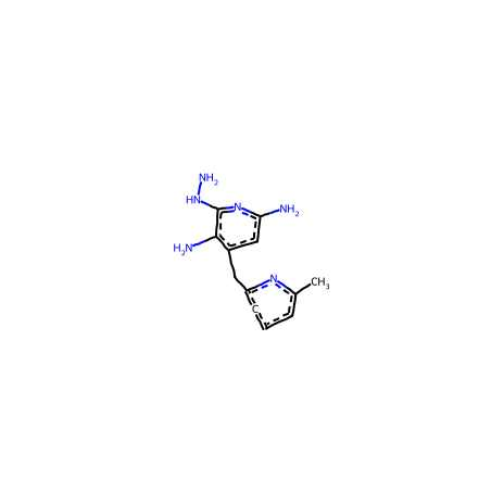 Cc1cccc(Cc2cc(N)nc(NN)c2N)n1